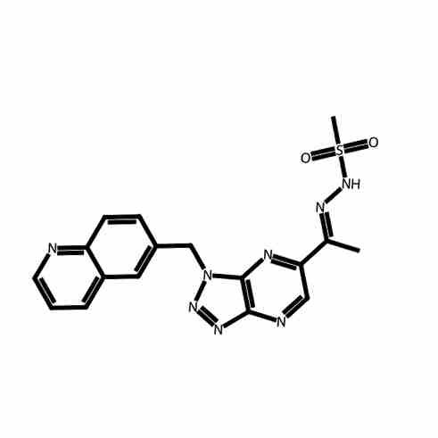 CC(=NNS(C)(=O)=O)c1cnc2nnn(Cc3ccc4ncccc4c3)c2n1